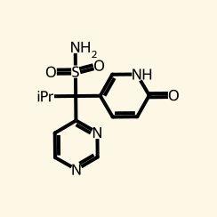 CC(C)C(c1ccc(=O)[nH]c1)(c1ccncn1)S(N)(=O)=O